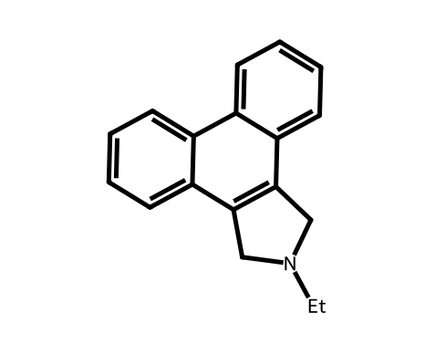 CCN1Cc2c(c3ccccc3c3ccccc23)C1